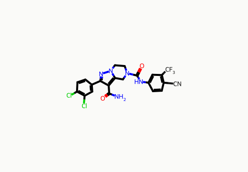 N#Cc1ccc(NC(=O)N2CCn3nc(-c4ccc(Cl)c(Cl)c4)c(C(N)=O)c3C2)cc1C(F)(F)F